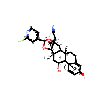 C[C@]12C=CC(=O)C=C1CC[C@@H]1[C@@H]2[C@@H](O)C[C@@]2(C)[C@H]1C[C@H]1OC(c3ccnc(F)c3)O[C@]12C(=O)CC#N